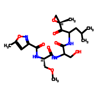 COC[C@H](NC(=O)c1cc(C)on1)C(=O)NC(CO)C(=O)NC(CC(C)C)C(=O)[C@@]1(C)CO1